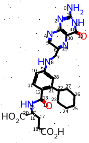 Nc1nc2ncc(CNc3ccc(C(=O)N[C@@H](CCC(=O)O)C(=O)O)c(C4CCCCC4)c3)nc2c(=O)[nH]1